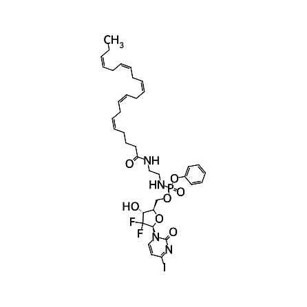 CC/C=C\C/C=C\C/C=C\C/C=C\C/C=C\CCCC(=O)NCCNP(=O)(OC[C@H]1O[C@@H](n2ccc(I)nc2=O)C(F)(F)[C@@H]1O)Oc1ccccc1